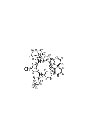 Clc1cc2cc(c1)N(C13CC4CC(C1)C(C4)C3)c1cccc(c1)[Si](c1ccccc1)(c1ccccc1)c1cccc(c1)N2C12CC3CC(CC(C3)C1)C2